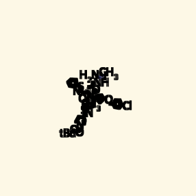 C/N=C(\N)NCCC[C@H](NC(=O)[C@@H]1C[C@@H](OCc2ccc(Cl)cc2)CN1C(=O)Cc1nc(C2CCN(C(=O)OC(C)(C)C)CC2)sc1C)C(O)c1nc2ccccc2s1